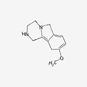 COC1=CC=C2CN3CCNCC3=C2C1